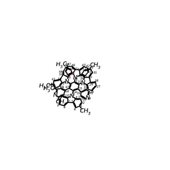 Cc1ccc2c(c1)c1ccccc1n2-c1c(-c2ccncc2)c(-n2c3ccccc3c3cc(C)ccc32)c(-n2c3ccccc3c3cc(C)ccc32)c(-n2c3ccccc3c3cc(C)ccc32)c1-c1cc(C)nc(C)c1